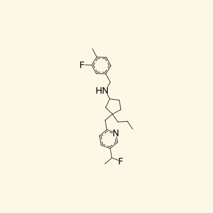 CCCC1(Cc2ccc(C(C)F)cn2)CCC(NCc2ccc(C)c(F)c2)C1